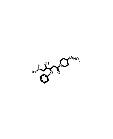 CC(C)NCC(O)C(CC(=O)N1CCC(O[N+](=O)[O-])CC1)Oc1ccccc1